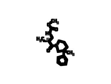 CC[C@H](CNC(=O)OC)C(=O)N1CCCC(C)(c2ccccc2)C1